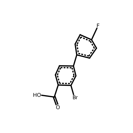 O=C(O)c1ccc(-c2ccc(F)cc2)cc1Br